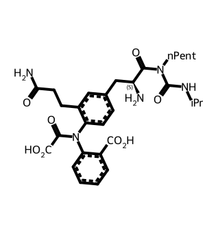 CCCCCN(C(=O)NC(C)C)C(=O)[C@@H](N)Cc1ccc(N(C(=O)C(=O)O)c2ccccc2C(=O)O)c(CCC(N)=O)c1